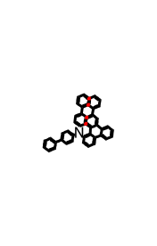 c1ccc(-c2ccc(N(c3ccc(-c4ccccc4)cc3)c3cccc4c5ccccc5c5cc(-c6ccccc6)ccc5c34)cc2)cc1